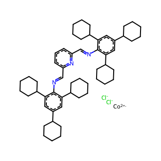 C(=Nc1c(C2CCCCC2)cc(C2CCCCC2)cc1C1CCCCC1)c1cccc(C=Nc2c(C3CCCCC3)cc(C3CCCCC3)cc2C2CCCCC2)n1.[Cl-].[Cl-].[Co+2]